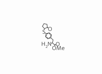 COC(=O)C(N)Cc1ccc(SC2CCCC2=O)cc1